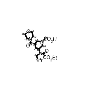 CCOC(=O)C(=O)N(CC(C)C)[C@H]1C[C@@H](C(=O)N2CCOCC2)CN(C(=O)O)C1